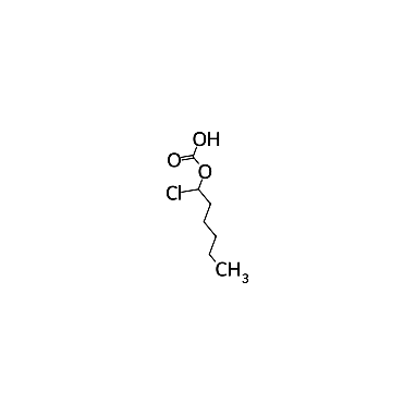 CCCCCC(Cl)OC(=O)O